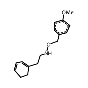 COc1ccc(CONCCC2=CC=CCC2)cc1